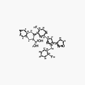 OC(O)C1Cc2ccccc2CN1c1nc(-c2cc(-c3ccon3)n(Cc3ccccc3F)n2)ncc1F